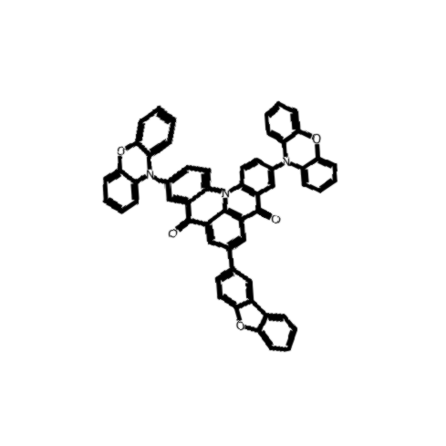 O=c1c2cc(N3c4ccccc4Oc4ccccc43)ccc2n2c3ccc(N4c5ccccc5Oc5ccccc54)cc3c(=O)c3cc(-c4ccc5oc6ccccc6c5c4)cc1c32